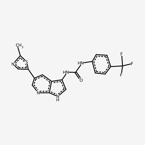 Cc1ncc(-c2cnc3[nH]cc(NC(=O)Nc4ccc(C(F)(F)F)cc4)c3c2)s1